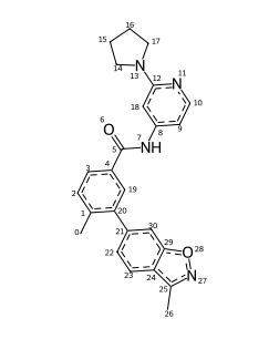 Cc1ccc(C(=O)Nc2ccnc(N3CCCC3)c2)cc1-c1ccc2c(C)noc2c1